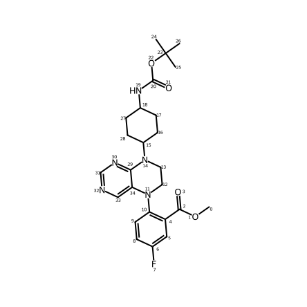 COC(=O)c1cc(F)ccc1N1CCN(C2CCC(NC(=O)OC(C)(C)C)CC2)c2ncncc21